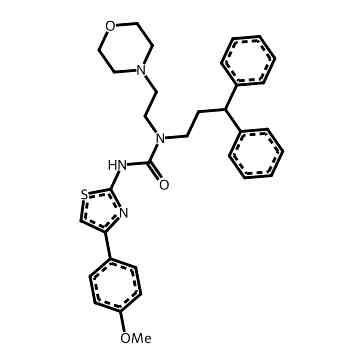 COc1ccc(-c2csc(NC(=O)N(CCC(c3ccccc3)c3ccccc3)CCN3CCOCC3)n2)cc1